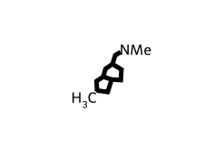 CNCC1CCC2CC(C)CC2C1